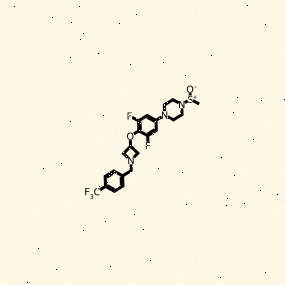 C[S+]([O-])N1CCN(c2cc(F)c(OC3CN(Cc4ccc(C(F)(F)F)cc4)C3)c(F)c2)CC1